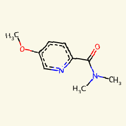 COc1ccc(C(=O)N(C)C)nc1